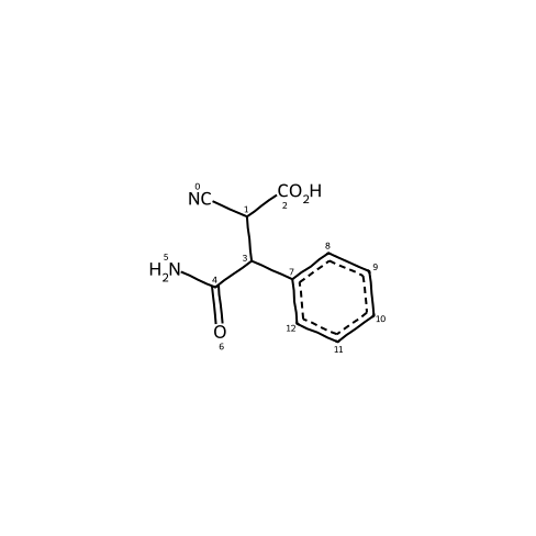 N#CC(C(=O)O)C(C(N)=O)c1ccccc1